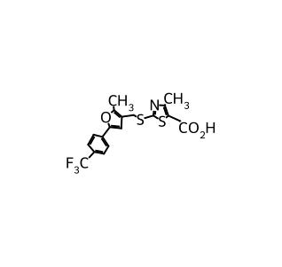 Cc1nc(SCc2cc(-c3ccc(C(F)(F)F)cc3)oc2C)sc1CC(=O)O